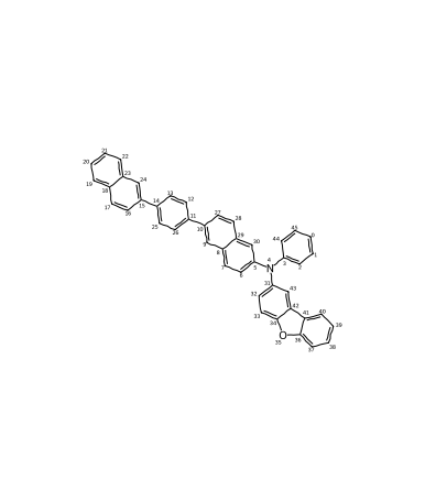 c1ccc(N(c2ccc3cc(-c4ccc(-c5ccc6ccccc6c5)cc4)ccc3c2)c2ccc3oc4ccccc4c3c2)cc1